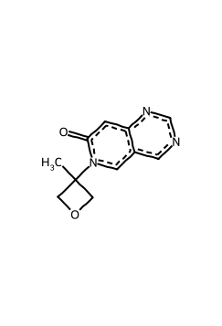 CC1(n2cc3cncnc3cc2=O)COC1